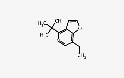 CCc1cnc(C(C)(C)C)c2ccoc12